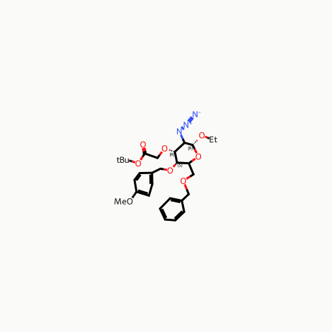 CCO[C@@H]1OC(COCc2ccccc2)[C@@H](OCc2ccc(OC)cc2)[C@H](OCC(=O)OC(C)(C)C)C1N=[N+]=[N-]